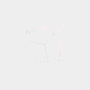 CC(C)OP(=O)(OC(C)C)C(C)C(=O)O